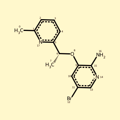 Cc1cccc([C@@H](C)Oc2cc(Br)cnc2N)n1